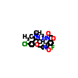 Cc1nn(C)c(C)c1-c1cc(Cl)ccc1OCC1CN(C(=O)c2cc3c(cc2F)OCC(=O)N3)C1